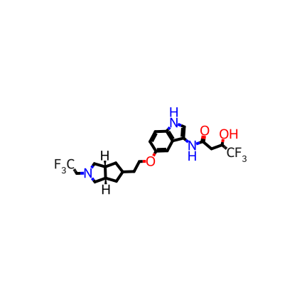 O=C(CC(O)C(F)(F)F)Nc1c[nH]c2ccc(OCCC3C[C@@H]4CN(CC(F)(F)F)C[C@@H]4C3)cc12